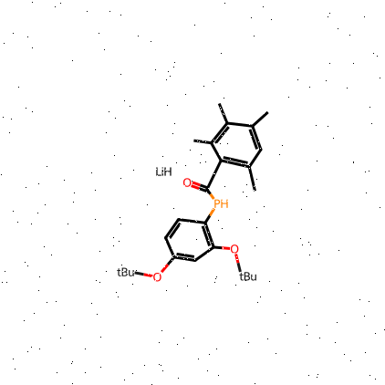 Cc1cc(C)c(C(=O)Pc2ccc(OC(C)(C)C)cc2OC(C)(C)C)c(C)c1C.[LiH]